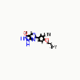 CC(C)CCOc1ccc(-c2ncc3c(=O)[nH][nH]c3n2)cc1C#N